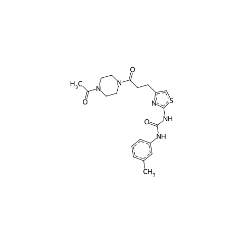 CC(=O)N1CCN(C(=O)CCc2csc(NC(=O)Nc3cccc(C)c3)n2)CC1